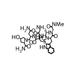 CNC(=O)CNC(=O)C(N)Cc1c(SCC(NC(=O)CN)C(=O)NC(CC(N)=O)C(=O)N2CC(O)CC2C(N)=O)[nH]c2ccccc12